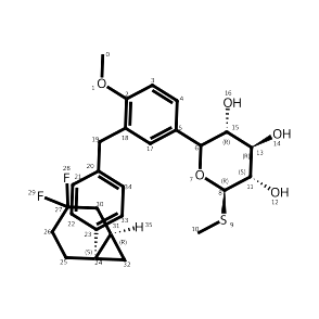 COc1ccc(C2O[C@H](SC)[C@@H](O)[C@H](O)[C@H]2O)cc1Cc1ccc([C@]23CCC(F)(F)C[C@H]2C3)cc1